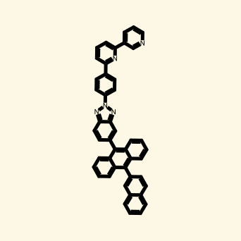 c1cncc(-c2cccc(-c3ccc(-n4nc5ccc(-c6c7ccccc7c(-c7ccc8ccccc8c7)c7ccccc67)cc5n4)cc3)n2)c1